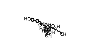 C#CCCCCCCS[C@]1(C(=O)O)C[C@H](O)[C@@H](NC(=O)CO)[C@H]([C@H](O)[C@H](O)CNC(=O)Cc2ccc(-c3ccc(O)cc3)cc2)O1